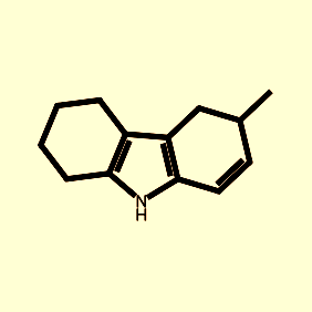 CC1C=Cc2[nH]c3c(c2C1)CCCC3